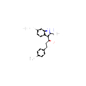 Cc1[nH]c2cc(S(=O)(=O)O)ccc2c1C(=O)CCc1ccc(C#N)cc1